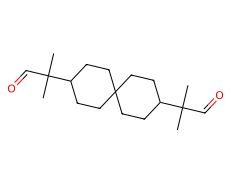 CC(C)(C=O)C1CCC2(CC1)CCC(C(C)(C)C=O)CC2